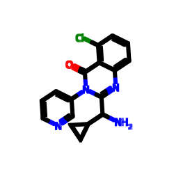 NC(c1nc2cccc(Cl)c2c(=O)n1-c1cccnc1)C1CC1